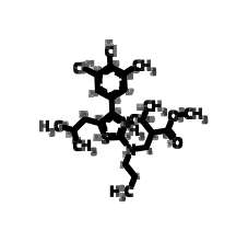 CCCN(CC(C(=O)OC)C(C)C)c1nc(-c2cc(C)c(Cl)c(Cl)c2)c(CC(C)C)s1